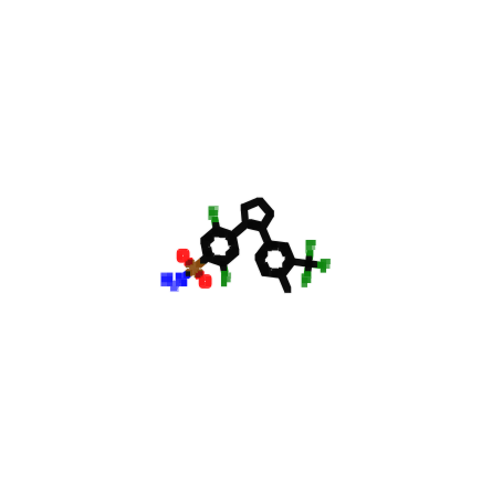 Cc1ccc(C2=C(c3cc(F)c(S(N)(=O)=O)cc3F)CCC2)cc1C(F)(F)F